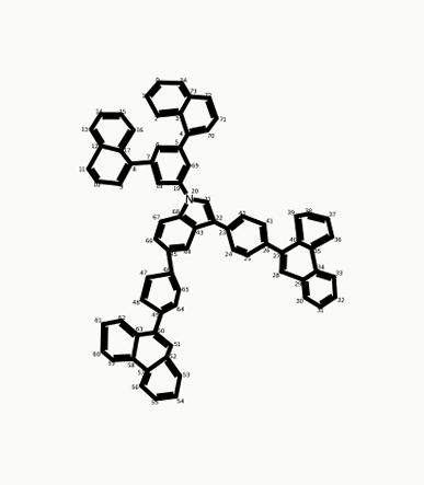 c1ccc2c(-c3cc(-c4cccc5ccccc45)cc(-n4cc(-c5ccc(-c6cc7ccccc7c7ccccc67)cc5)c5cc(-c6ccc(-c7cc8ccccc8c8ccccc78)cc6)ccc54)c3)cccc2c1